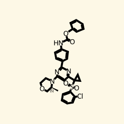 C[C@H]1COCCN1c1cc(C2(S(=O)(=O)c3ccccc3Cl)CC2)nc(-c2ccc(NC(=O)Oc3ccccc3)cc2)n1